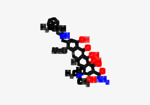 COc1c(CNC[C@H]2CCC3CC2C3(C)C)cc(O)c2c1C[C@H]1C[C@H]3[C@H](N(C)C)C(O)=C(C(N)=O)C(=O)[C@@]3(O)C(O)=C1C2=O